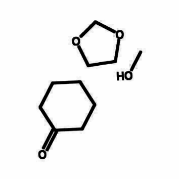 C1COCO1.CO.O=C1CCCCC1